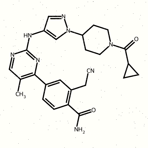 Cc1cnc(Nc2cnn(C3CCN(C(=O)C4CC4)CC3)c2)nc1-c1ccc(C(N)=O)c(CC#N)c1